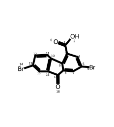 O=C(O)c1cc(Br)cc2c1-c1ccc(Br)cc1C2=O